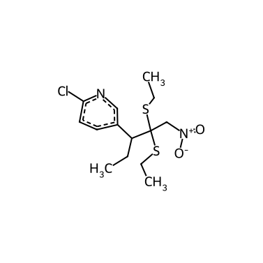 CCSC(C[N+](=O)[O-])(SCC)C(CC)c1ccc(Cl)nc1